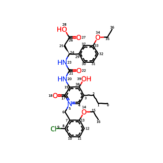 CCCc1cn(Cc2c(Cl)cccc2OCC)c(=O)c(NC(=O)N[C@@H](CC(=O)O)c2cccc(OCC)c2)c1O